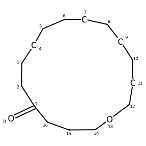 O=C1CCCCCCCCCCCOCCC1